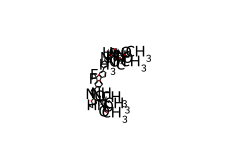 COC(=O)N[C@H](C(=O)C1CC2(CC2)CC1c1ncc(-c2ccc3c(c2)C(F)(F)c2cc(-c4ccc5nc([C@@H]6[C@H]7CC[C@H](C7)N6C(=O)[C@@H](NC(=O)OC)C(C)C)[nH]c5c4)ccc2-3)[nH]1)C(C)C